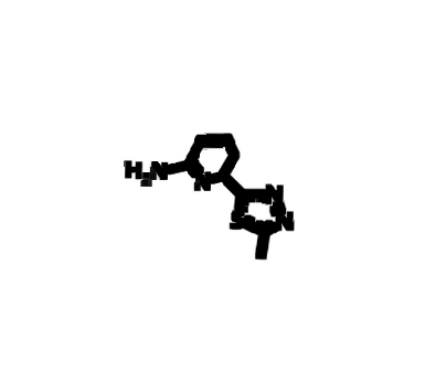 Cc1nnc(C2CC=CC(N)=N2)s1